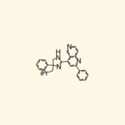 CC(C)CC1(c2ccccc2)CNC(c2cc(-c3ccccc3)nc3ccncc23)=N1